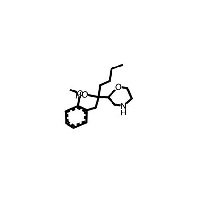 CCCCC(O)(Cc1ccccc1OC)C1CNCCO1